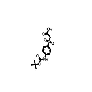 CC(C)(C)OC(=O)Nc1ccc(S(=O)(=O)CC(=O)O)cc1